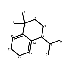 CC(C)C1CCC(C)(C)C2=CCCC=C21